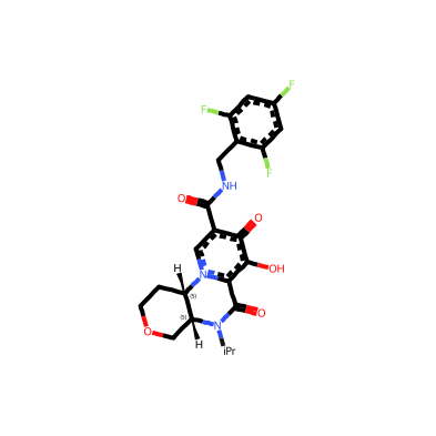 CC(C)N1C(=O)c2c(O)c(=O)c(C(=O)NCc3c(F)cc(F)cc3F)cn2[C@H]2CCOC[C@H]21